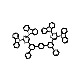 c1ccc(-c2cc(-c3ccc(-c4cc(-c5ccccc5)cc(-c5cc(-n6c7ccccc7c7ccccc76)nc(-n6c7ccccc7c7ccccc76)n5)c4)cc3)cc(-c3cc(-n4c5ccccc5c5ccccc54)nc(-n4c5ccccc5c5ccccc54)n3)c2)cc1